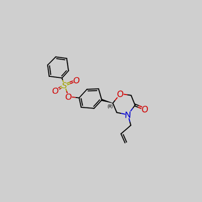 C=CCN1C[C@@H](c2ccc(OS(=O)(=O)c3ccccc3)cc2)OCC1=O